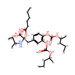 CCCCCC(=O)O[C@](Cc1ccc(OC(=O)OC(C)CCC)c(OC(=O)OC(C)CCC)c1)(NC(C)CC)C(=O)O